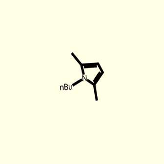 CCCCn1c(C)ccc1C